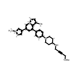 COCC#CCNC1CCN(c2ccc(-c3cc(-c4cnn(C)c4)cn4ncc(C#N)c34)cn2)CC1